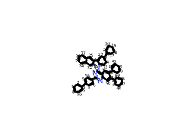 c1ccc(-c2ccc(-c3nc(-n4c5ccc(-c6ccccc6)cc5c5cc6ccccc6cc54)c4cc(-c5ccccc5)c(-c5ccccc5)cc4n3)cc2)cc1